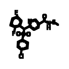 CSNC(=O)c1ccc(C(c2cc(F)ccc2F)S(=O)(=O)c2ccc(Cl)cc2)nc1